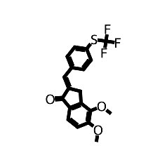 COc1ccc2c(c1OC)CC(=Cc1ccc(SC(F)(F)F)cc1)C2=O